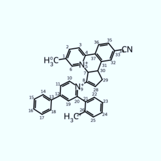 Cc1ccc2[n+](c1)C1C([n+]3ccc(-c4ccccc4)cc3-c3ccccc3C)=CCC1c1cc(C#N)ccc1-2